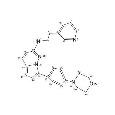 c1cncc(CCNc2ccc3ncc(-c4ccc(N5CCOCC5)cc4)n3n2)c1